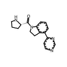 O=C([C@@H]1CCCN1)N1CCc2c(-c3ccncn3)cccc21